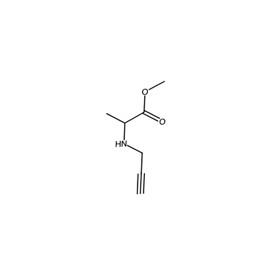 C#CCNC(C)C(=O)OC